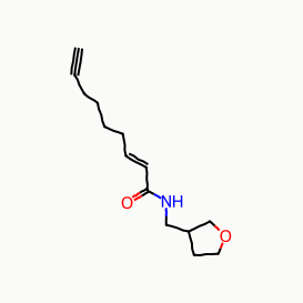 C#CCCCCC=CC(=O)NCC1CCOC1